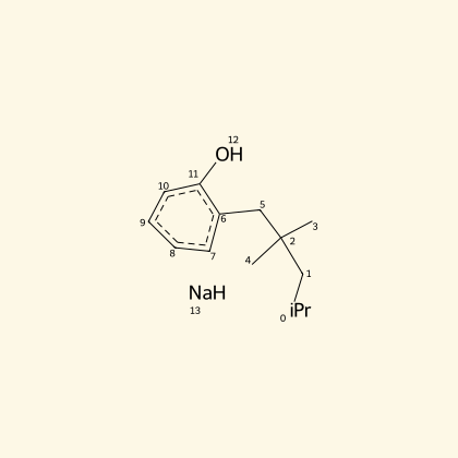 CC(C)CC(C)(C)Cc1ccccc1O.[NaH]